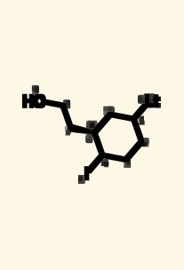 CCC1CCC(I)[C@@H](CCO)C1